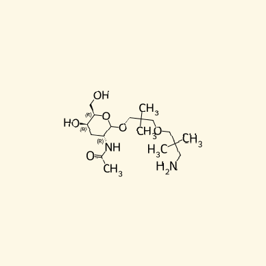 CC(=O)N[C@@H]1C[C@@H](O)[C@@H](CO)OC1OCC(C)(C)COCC(C)(C)CN